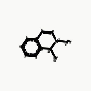 CCCN1C=Cc2ccccc2C1Br